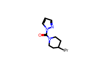 CC(C)C1CCN(C(=O)n2cccn2)CC1